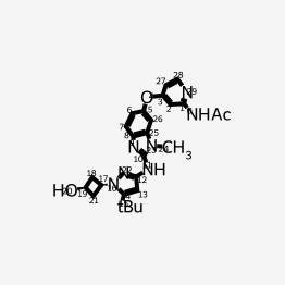 CC(=O)Nc1cc(Oc2ccc3nc(Nc4cc(C(C)(C)C)n([C@H]5C[C@H](O)C5)n4)n(C)c3c2)ccn1